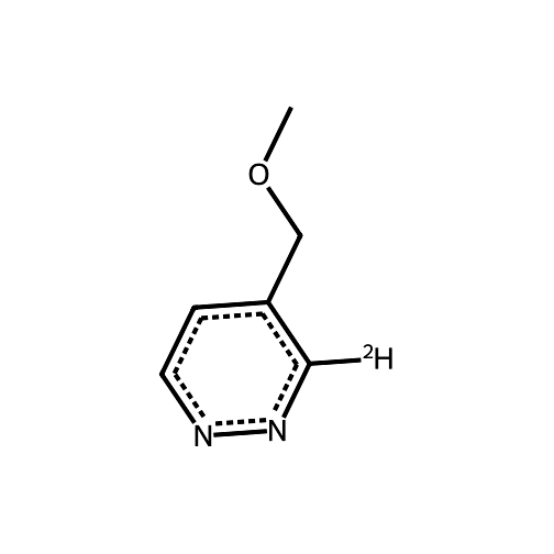 [2H]c1nnccc1COC